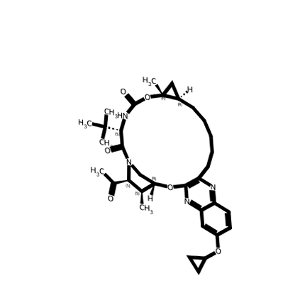 CC(=O)[C@@H]1[C@H](C)[C@@H]2CN1C(=O)[C@H](C(C)(C)C)NC(=O)O[C@]1(C)C[C@H]1CCCCCc1nc3ccc(OC4CC4)cc3nc1O2